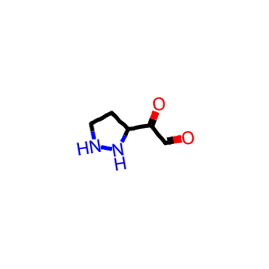 O=CC(=O)C1CCNN1